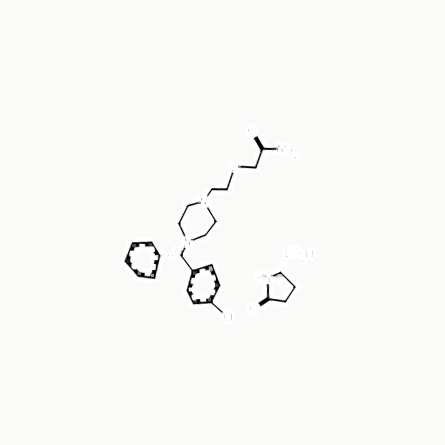 NC(=O)COCCN1CCN([C@@H](c2ccccc2)c2ccc(Cl)cc2)CC1.O=C1CC[C@@H](C(=O)O)N1